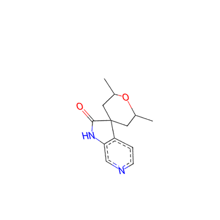 CC1CC2(CC(C)O1)C(=O)Nc1cnccc12